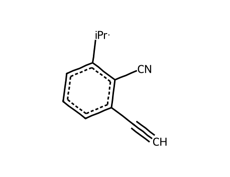 C#Cc1cccc([C](C)C)c1C#N